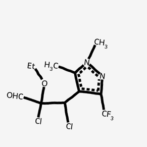 CCOC(Cl)(C=O)C(Cl)c1c(C(F)(F)F)nn(C)c1C